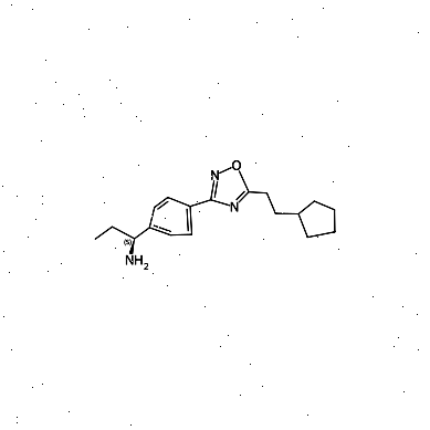 CC[C@H](N)c1ccc(-c2noc(CCC3CCCC3)n2)cc1